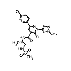 C[C@@H](CNS(C)(=O)=O)NC(=O)c1cc(-c2ccc(Cl)cc2)nn(-c2cnn(C)c2)c1=O